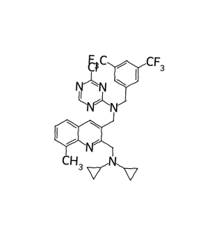 Cc1cccc2cc(CN(Cc3cc(C(F)(F)F)cc(C(F)(F)F)c3)c3ncnc(Cl)n3)c(CN(C3CC3)C3CC3)nc12